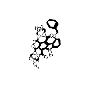 CCOC(=O)c1c(C(=O)OCC)c(C(=O)OCC)c2c([nH]c3cccc(OCc4ccccc4)c32)c1C(=O)OCC